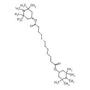 CN1C(C)(C)CC(OC(=O)CCCCCCCCCCC(=O)OC2CC(C)(C)N(C)C(C)(C)C2)CC1(C)C